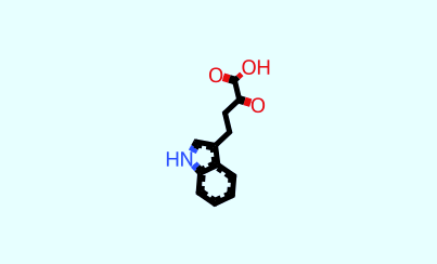 O=C(O)C(=O)CCc1c[nH]c2ccccc12